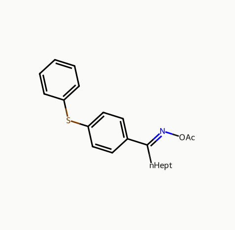 CCCCCCCC(=NOC(C)=O)c1ccc(Sc2ccccc2)cc1